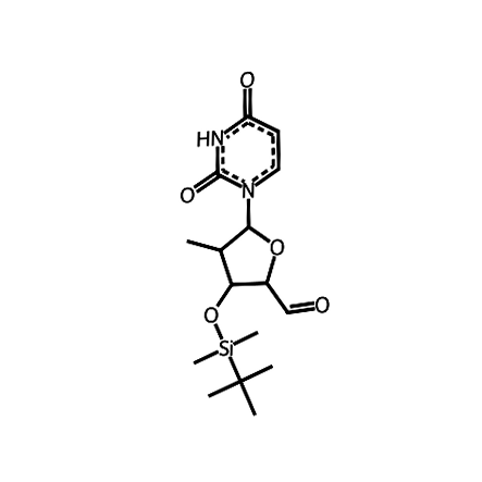 CC1C(O[Si](C)(C)C(C)(C)C)C(C=O)OC1n1ccc(=O)[nH]c1=O